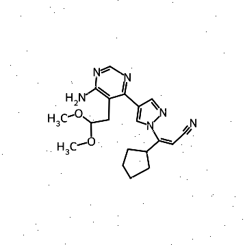 COC(Cc1c(N)ncnc1-c1cnn(/C(=C\C#N)C2CCCC2)c1)OC